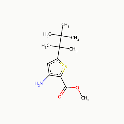 COC(=O)c1sc(C(C)(C)C(C)(C)C)cc1N